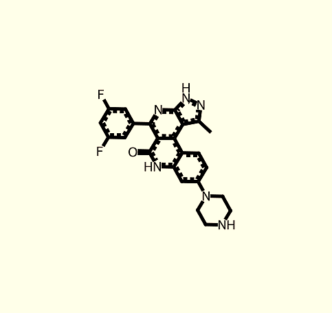 Cc1n[nH]c2nc(-c3cc(F)cc(F)c3)c3c(=O)[nH]c4cc(N5CCNCC5)ccc4c3c12